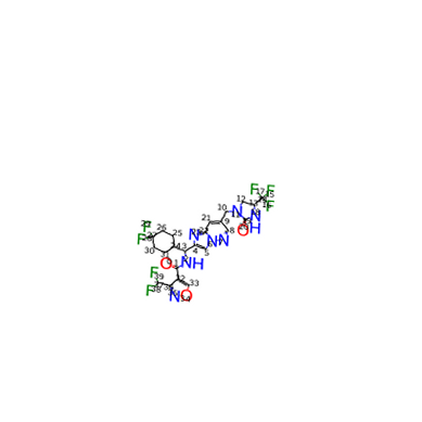 O=C(NC(c1cn2ncc(CN3C[C@@H](C(F)(F)F)NC3=O)cc2n1)C1CCC(F)(F)CC1)c1conc1C(F)F